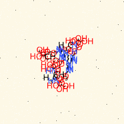 CC(=O)N[C@H]1[C@H](OCCOCCn2cc(CN(CCCC[C@@H](C(=O)O)N(Cc3cn(CCOCCO[C@@H]4O[C@H](CO)[C@H](O)[C@H](O)[C@H]4C)nn3)c3cn(CCOCCO[C@@H]4O[C@H](CO)[C@H](O)[C@H](O)[C@H]4NC(C)=O)nn3)Cc3cn(CCOCCO[C@@H]4O[C@H](CO)[C@H](O)[C@H](O)[C@H]4NC(C)=O)nn3)nn2)O[C@H](CO)[C@H](O)[C@@H]1O